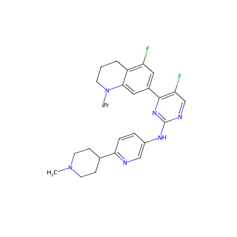 CC(C)N1CCCc2c(F)cc(-c3nc(Nc4ccc(C5CCN(C)CC5)nc4)ncc3F)cc21